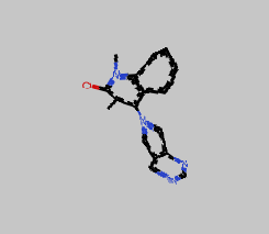 Cc1c(-n2cc3cncnc3c2)c2ccccc2n(C)c1=O